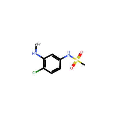 CCCNc1cc(NS(C)(=O)=O)ccc1Cl